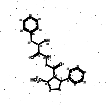 O=C(NCC(=O)N1C(c2ccccc2)CC[C@H]1C(=O)O)C(S)Cc1ccccc1